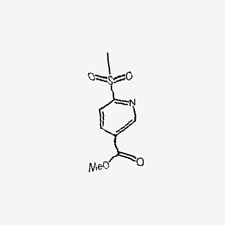 COC(=O)c1ccc(S(C)(=O)=O)nc1